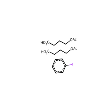 CC(=O)OCCCC(=O)O.CC(=O)OCCCC(=O)O.Ic1ccccc1